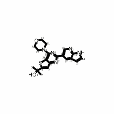 CC(C)(O)c1cc2nc(-c3cnc4[nH]ccc4c3)nc(N3CCOCC3)c2s1